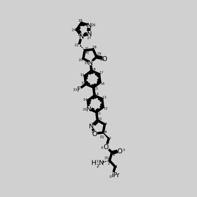 CC(C)C[C@H](N)C(=O)OC[C@@H]1CC(c2ccc(-c3ccc(N4C[C@H](Cn5ccnn5)CC4=O)cc3F)cn2)=NO1